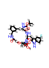 COC(=O)[C@@H]1[C@@H]2CCN1C(=O)[C@H](Cc1c[nH]c3ccc(F)cc13)NC(=O)[C@@H](NC(=O)OC(C)(C)C)Cc1cccc(c1)CNC(=O)CO2